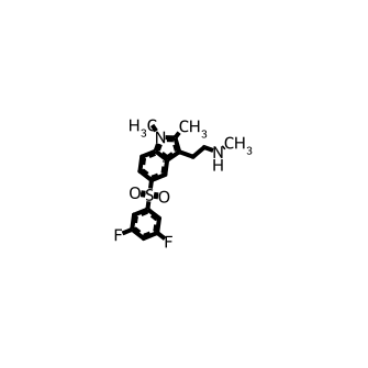 CNCCc1c(C)n(C)c2ccc(S(=O)(=O)c3cc(F)cc(F)c3)cc12